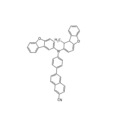 CC1C(N(c2ccc(-c3ccc4cc(C#N)ccc4c3)cc2)c2ccc3oc4ccccc4c3c2)=CC=C2Oc3ccccc3C21